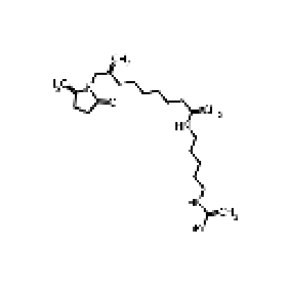 C=C(CCCCCCC(=C)NCCCCCNC(=C)C(C)C)CN1C(=C)CCC1=O